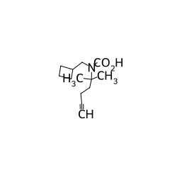 C#CCCC(C)(C)N(CC1CCC1)C(=O)O